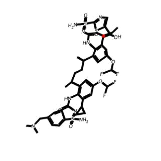 CC(C)c1cc(OC(F)F)cc(C(C)CCC(C)c2cc(OC(F)F)cc(C3CC3)c2NC(=O)N=S(N)(=O)c2ccc(CN(C)C)cc2)c1NC(=O)N=S(N)(=O)c1ncc(C(C)(C)O)s1